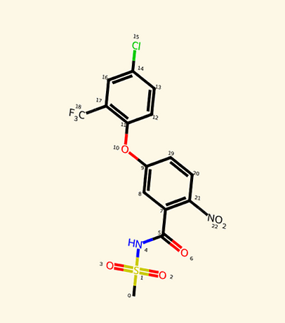 CS(=O)(=O)NC(=O)c1cc(Oc2ccc(Cl)cc2C(F)(F)F)ccc1[N+](=O)[O-]